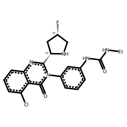 CCNC(=O)Nc1cccc(-n2c([C@@H]3C[C@H](F)CN3)nc3cccc(Cl)c3c2=O)c1